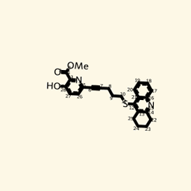 COC(=O)c1nc(C#CCCCSc2c3c(nc4ccccc24)CCCC3)ccc1O